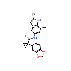 CC(=O)c1cc(NC(=O)C2(c3ccc4c(c3)OCO4)CC2)cc2cc(C(C)(C)C)[nH]c12